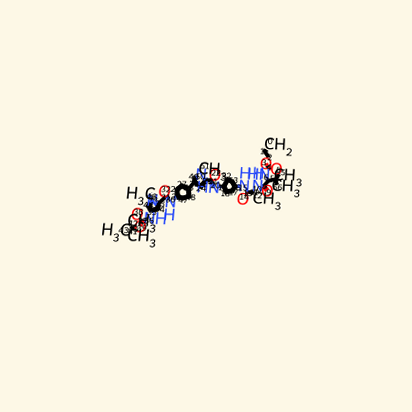 C=CCOC(=O)N[C@H](C(=O)N[C@@H](C)C(=O)Nc1ccc(NC(=O)c2cc(-c3ccc(NC(=O)c4cc(NC(=O)OC(C)(C)C)cn4C)cc3)cn2C)cc1)C(C)C